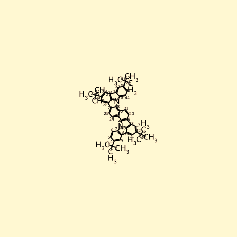 CC(C)(C)c1ccc2c(c1)c1cc(C(C)(C)C)cc3c4ccc5c(ccc6c7cc(C(C)(C)C)cc8c9cc(C(C)(C)C)ccc9n(c87)c65)c4n2c13